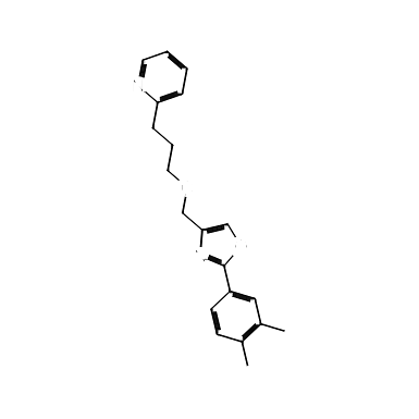 Cc1ccc(-c2nc(COCCCc3ccccn3)co2)cc1C